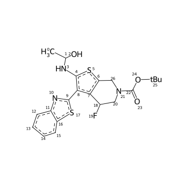 CC(O)Nc1sc2c(c1-c1nc3ccccc3s1)C(F)CN(C(=O)OC(C)(C)C)C2